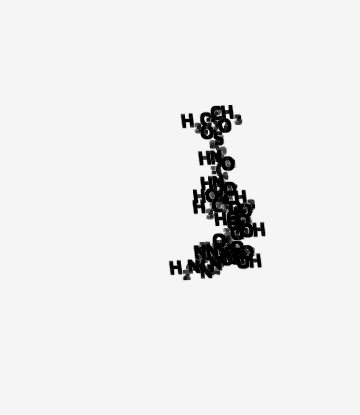 CC(C)C(=O)C(=O)SCCNC(=O)CCNC(=O)[C@H](O)C(C)(C)COP(=O)(O)OP(=O)(O)OC[C@H]1O[C@@H](n2cnc3c(N)ncnc32)[C@H](O)[C@@H]1OP(=O)(O)O